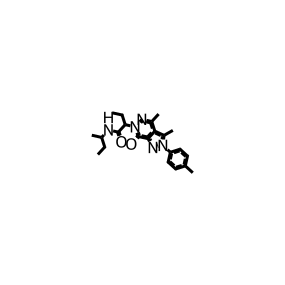 CCC(C)NC(=O)C(CC)n1nc(C)c2c(C)n(-c3ccc(C)cc3)nc2c1=O